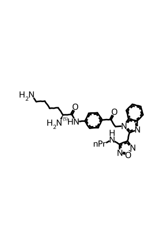 CCCNc1nonc1-c1nc2ccccc2n1CC(=O)c1ccc(NC(=O)[C@@H](N)CCCCN)cc1